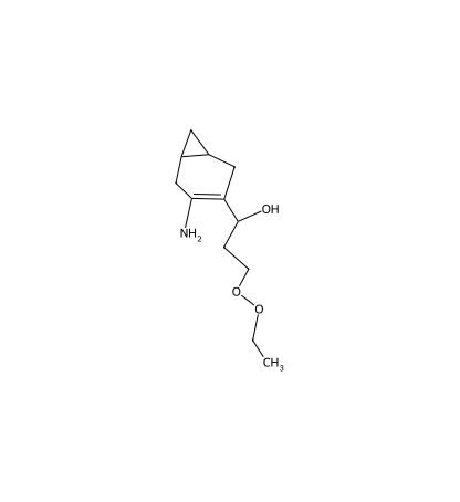 CCOOCCC(O)C1=C(N)CC2CC2C1